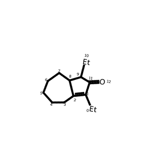 CCC1=C2CCCCCC2C(CC)C1=O